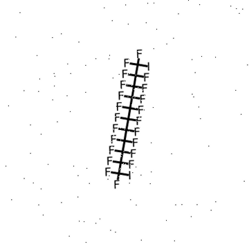 FC(F)(I)C(F)(F)C(F)(F)C(F)(F)C(F)(F)C(F)(F)C(F)(F)C(F)(F)C(F)(F)C(F)(F)C(F)(F)I